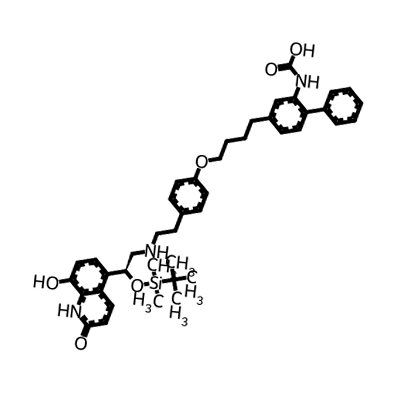 CC(C)(C)[Si](C)(C)O[C@H](CNCCc1ccc(OCCCCc2ccc(-c3ccccc3)c(NC(=O)O)c2)cc1)c1ccc(O)c2[nH]c(=O)ccc12